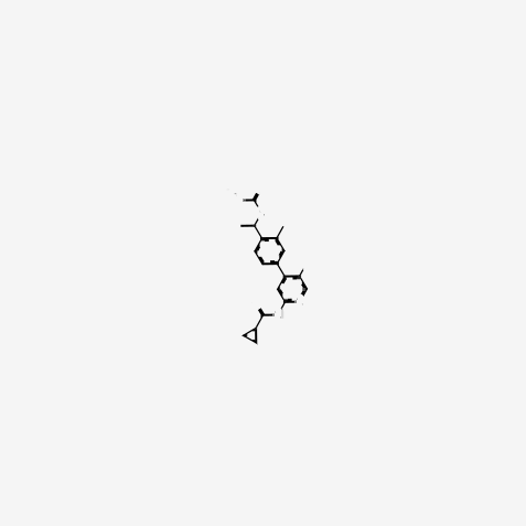 Cc1cc(-c2cc(NC(=O)C3CC3)ncc2F)ccc1C(C)NC(=O)OC(C)(C)C